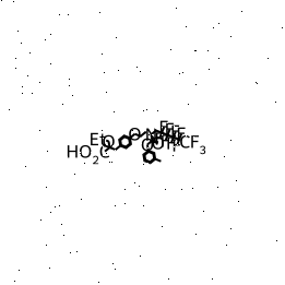 CCOC(Cc1ccc(OCCN(CC(F)(F)C(F)(F)C(F)(F)C(F)(F)C(F)(F)F)C(=O)Oc2cccc(C)c2)cc1)C(=O)O